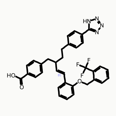 O=C(O)c1ccc(CC(/C=C/c2ccccc2OCc2ccccc2C(F)(F)F)CCc2ccc(-c3nnn[nH]3)cc2)cc1